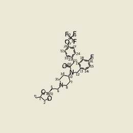 CC1CO[C@H](CCN2CCC(N(Cc3ccc(F)cc3)C(=O)Cc3ccc(OC(F)(F)F)cc3)CC2)O1